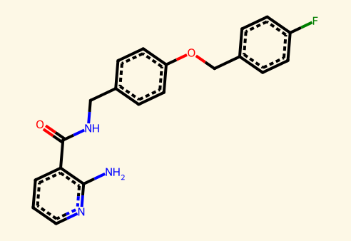 Nc1ncccc1C(=O)NCc1ccc(OCc2ccc(F)cc2)cc1